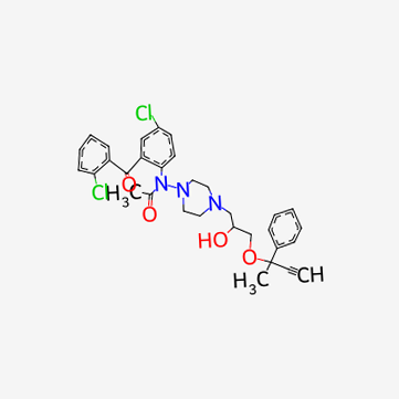 C#CC(C)(OCC(O)CN1CCN(N(C(C)=O)c2ccc(Cl)cc2C(=O)c2ccccc2Cl)CC1)c1ccccc1